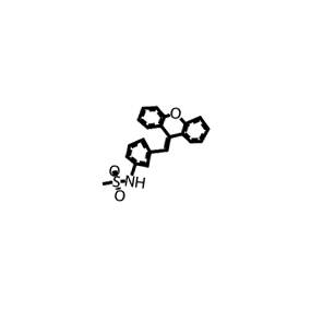 CS(=O)(=O)Nc1cccc(C=C2c3ccccc3Oc3ccccc32)c1